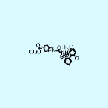 CC(C)(C)OC(=O)N1CCC(CNC(=O)CNS(=O)(=O)c2ccccc2-c2cc(C(F)(F)F)ccc2Cl)CC1